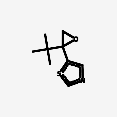 CC(C)(C)C1(c2cncs2)CO1